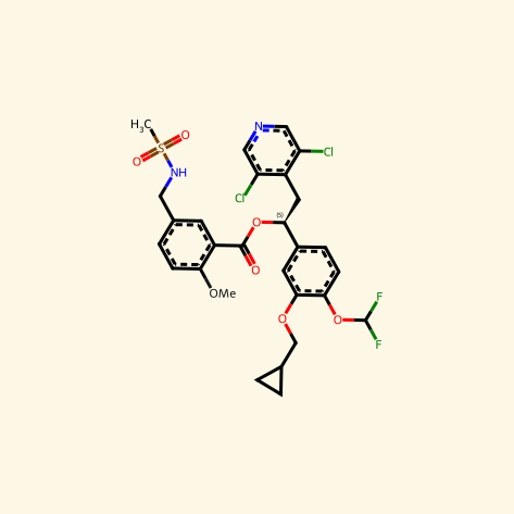 COc1ccc(CNS(C)(=O)=O)cc1C(=O)O[C@@H](Cc1c(Cl)cncc1Cl)c1ccc(OC(F)F)c(OCC2CC2)c1